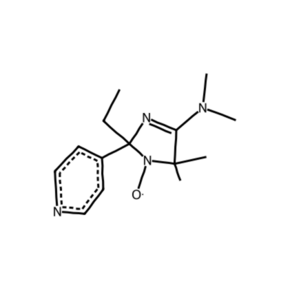 CCC1(c2ccncc2)N=C(N(C)C)C(C)(C)N1[O]